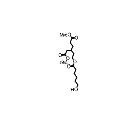 COC(=O)CCC(CCOC(=O)CCCCCO)CC(=O)OC(C)(C)C